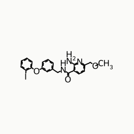 COCc1ccc(C(=O)NCc2cccc(Oc3ccccc3I)c2)c(N)n1